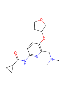 CN(C)Cc1nc(NC(=O)C2CC2)ccc1OC1CCOC1